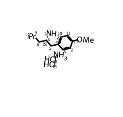 COc1ccc(C[C@@H](N)CC(C)C)cc1.Cl.Cl.N